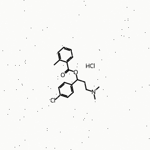 Cc1ccccc1C(=O)OC(CCN(C)C)c1ccc(Cl)cc1.Cl